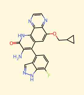 Nc1c(-c2ccc(F)c3[nH]ncc23)c2cc(OCC3CC3)c3nccnc3c2[nH]c1=O